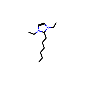 CCCCCCC1N(CC)C=CN1CC